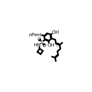 CCCCCc1cc(O)c(C/C=C(\C)CCC=C(C)C)c(O)c1S(=O)(=O)NC1CCC1